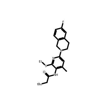 CCSc1nc(N2CCc3cc(F)ccc3C2)cc(C)c1NC(=O)CC(C)(C)C